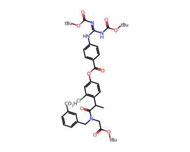 CC(C(=O)N(CC(=O)OC(C)(C)C)Cc1cccc(C(=O)O)c1)c1ccc(OC(=O)c2ccc(NC(=NC(=O)OC(C)(C)C)NC(=O)OC(C)(C)C)cc2)cc1Cl